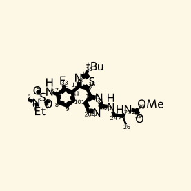 CCN(C)S(=O)(=O)Nc1cccc(-c2nc(C(C)(C)C)sc2-c2ccnc(NC[C@H](C)NC(=O)OC)n2)c1F